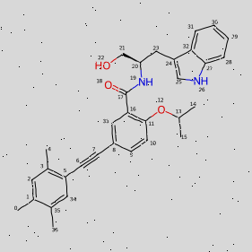 Cc1cc(C)c(C#Cc2ccc(OC(C)C)c(C(=O)N[C@@H](CO)Cc3c[nH]c4ccccc34)c2)cc1C